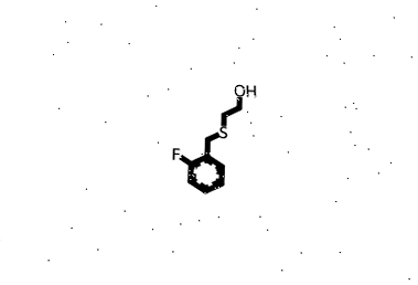 OCCSCc1ccccc1F